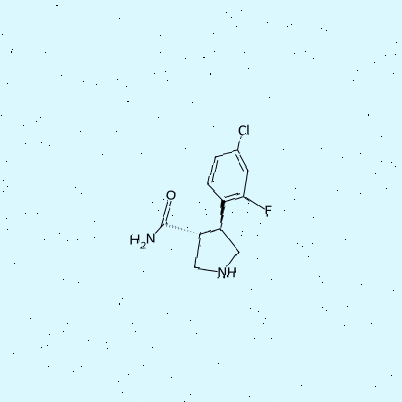 NC(=O)[C@H]1CNC[C@@H]1c1ccc(Cl)cc1F